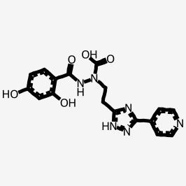 O=C(NN(CCc1nc(-c2ccncc2)n[nH]1)C(=O)O)c1ccc(O)cc1O